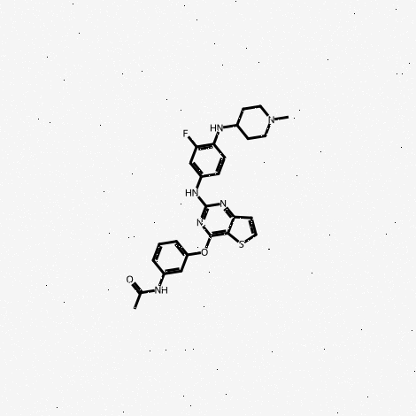 CC(=O)Nc1cccc(Oc2nc(Nc3ccc(NC4CCN(C)CC4)c(F)c3)nc3ccsc23)c1